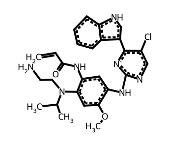 C=CC(=O)Nc1cc(Nc2ncc(Cl)c(-c3c[nH]c4ccccc34)n2)c(OC)cc1N(CCN)C(C)C